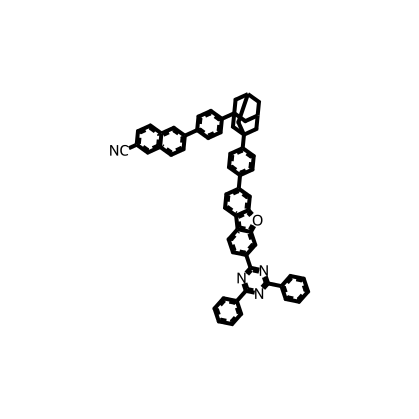 N#Cc1ccc2cc(-c3ccc(C45CC6CC(C4)CC(c4ccc(-c7ccc8c(c7)oc7cc(-c9nc(-c%10ccccc%10)nc(-c%10ccccc%10)n9)ccc78)cc4)(C6)C5)cc3)ccc2c1